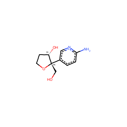 Nc1ccc([C@]2(CO)OCC[C@@H]2O)cn1